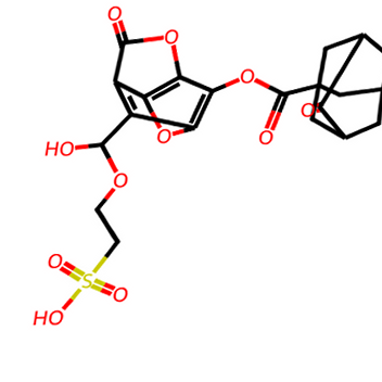 O=C1Oc2c(OC(=O)C34CC5CC(C3)C(=O)C(C5)C4)c3oc2c1c3C(O)OCCS(=O)(=O)O